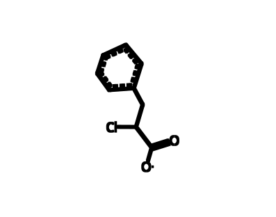 [O]C(=O)C(Cl)Cc1ccccc1